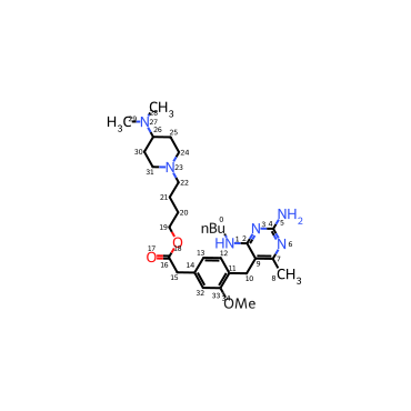 CCCCNc1nc(N)nc(C)c1Cc1ccc(CC(=O)OCCCCN2CCC(N(C)C)CC2)cc1OC